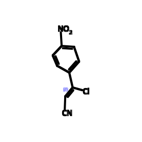 N#C/C=C(\Cl)c1ccc([N+](=O)[O-])cc1